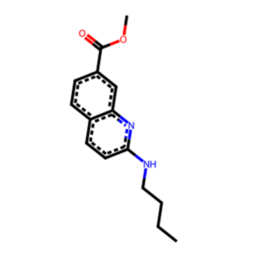 CCCCNc1ccc2ccc(C(=O)OC)cc2n1